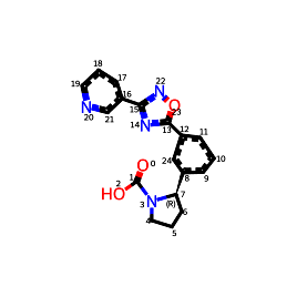 O=C(O)N1CCC[C@@H]1c1cccc(-c2nc(-c3cccnc3)no2)c1